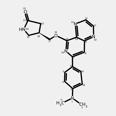 CN(C)c1ccc(-c2cc3nccnc3c(OC[C@H]3CNC(=O)C3)n2)cc1